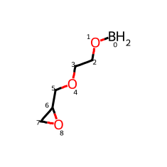 BOCCOCC1CO1